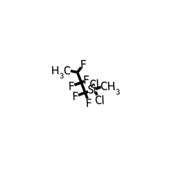 CC(F)C(F)(F)C(F)(F)[Si](C)(Cl)Cl